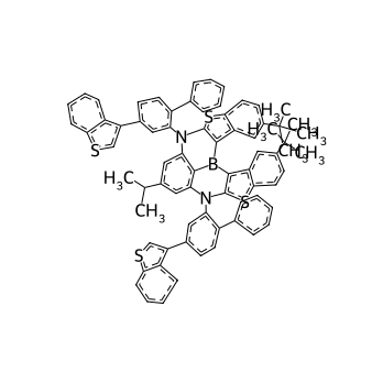 CC(C)c1cc2c3c(c1)N(c1cc(-c4csc5ccccc45)ccc1-c1ccccc1)c1sc4ccc(C(C)(C)C)cc4c1B3c1c(sc3ccc(C(C)(C)C)cc13)N2c1cc(-c2csc3ccccc23)ccc1-c1ccccc1